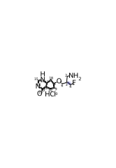 Cl.NC/C(=C\F)COc1ccc2c(=O)nc[nH]c2c1